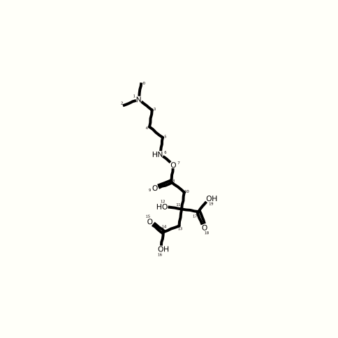 CN(C)CCCNOC(=O)CC(O)(CC(=O)O)C(=O)O